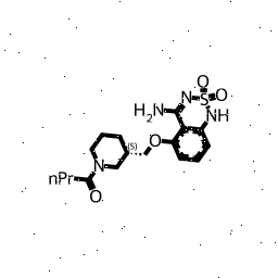 CCCC(=O)N1CCC[C@H](COc2cccc3c2C(N)=NS(=O)(=O)N3)C1